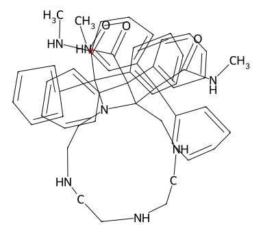 CNC(=O)C(c1ccccc1)(c1ccccc1)N1CCNCCNCCNCC1(C(C(=O)NC)(c1ccccc1)c1ccccc1)C(C(=O)NC)(c1ccccc1)c1ccccc1